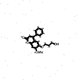 COc1cc2oc(=O)cc(-c3ccccc3)c2cc1OCCCO